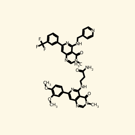 COc1ccc(-c2cc3ncn(C)c(=O)c3c(NCCC(N)=O)n2)cc1OC.Cn1cnc2cc(-c3cccc(C(F)(F)F)c3)nc(NCc3ccncc3)c2c1=O